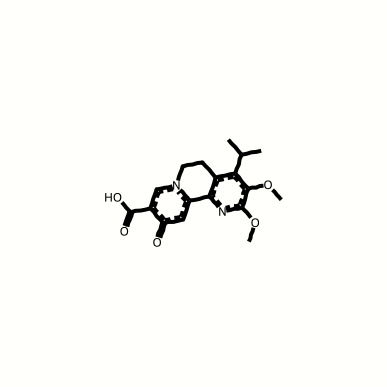 COc1nc2c(c(C(C)C)c1OC)CCn1cc(C(=O)O)c(=O)cc1-2